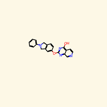 Oc1nc(Oc2ccc3c(c2)CN(c2ccccc2)C3)nc2cnccc12